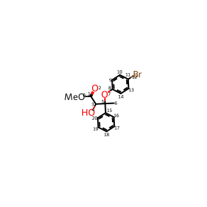 COC(=O)C(O)C(C)(Oc1ccc(Br)cc1)c1ccccc1